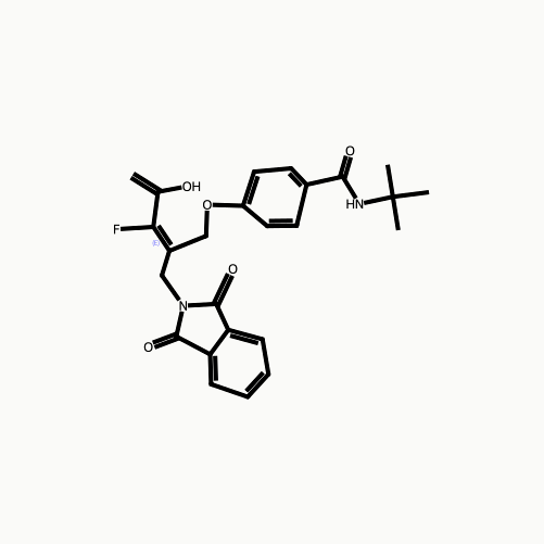 C=C(O)/C(F)=C(\COc1ccc(C(=O)NC(C)(C)C)cc1)CN1C(=O)c2ccccc2C1=O